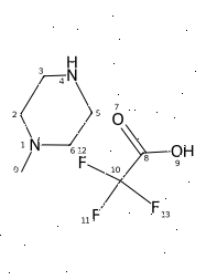 CN1CCNCC1.O=C(O)C(F)(F)F